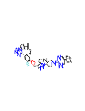 CCc1cnc(N2CCC(n3ncc(COc4ccc(-c5nnnn5C)cc4F)c3C#N)CC2)nc1